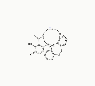 O=C1c2c(O)c(=O)ccn2N2CN1C/C=C\COc1cccc3c1[C@@H]2c1ccccc1OC3